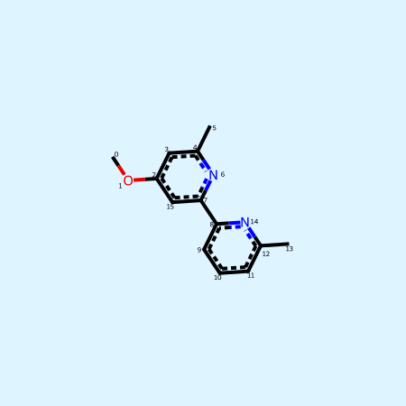 COc1cc(C)nc(-c2cccc(C)n2)c1